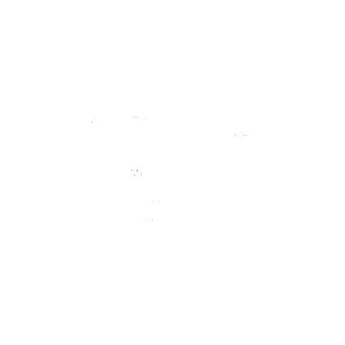 C=CC1=[C]([Mn])CC=C1C.[C]=O.[C]=O.[C]=O